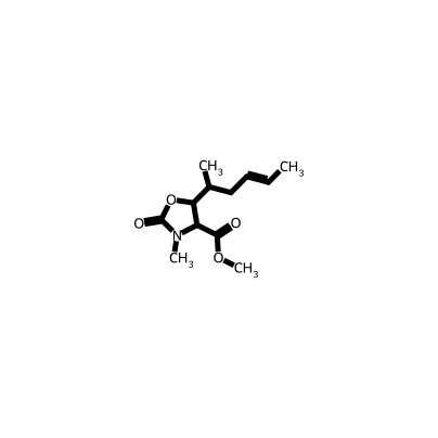 CC=CCC(C)C1OC(=O)N(C)C1C(=O)OC